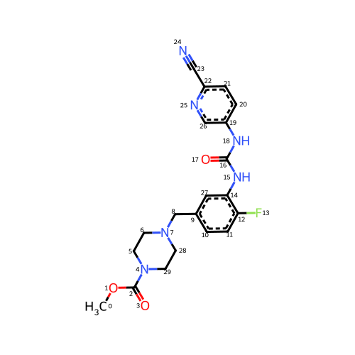 COC(=O)N1CCN(Cc2ccc(F)c(NC(=O)Nc3ccc(C#N)nc3)c2)CC1